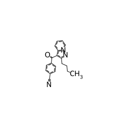 CCCCc1nn2ccccc2c1C(=O)c1ccc(C#N)cc1